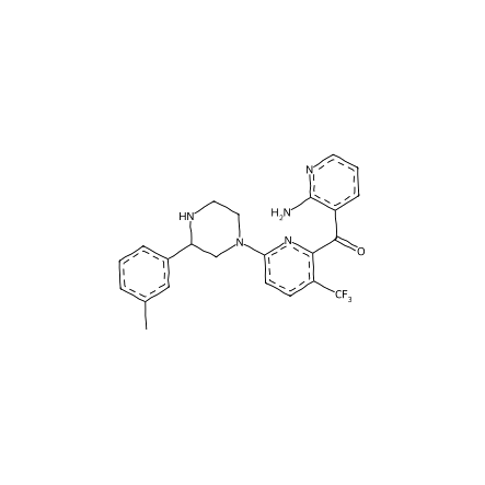 Cc1cccc(C2CN(c3ccc(C(F)(F)F)c(C(=O)c4cccnc4N)n3)CCN2)c1